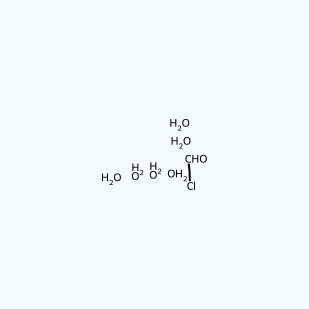 O.O.O.O.O.O.O=CCl